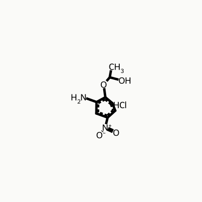 CC(O)Oc1ccc([N+](=O)[O-])cc1N.Cl